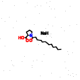 CCCCCCCCCCCC(=O)N1CCCC1C(=O)O.[NaH]